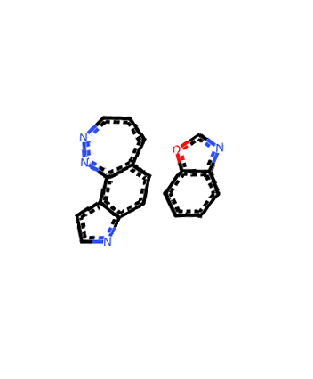 c1ccc2ocnc2c1.c1cnnc2c(c1)ccc1nccc12